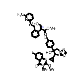 CC(C1CC1)C(O)(Cn1cncn1)c1ccc(Cl)cc1.CCCOc1nc2ccc(I)cc2c(=O)n1CCC.CO/C=C(/C(=O)OC)c1ccccc1COc1cccc(C(F)(F)F)n1